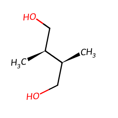 C[C@@H](CO)[C@@H](C)CO